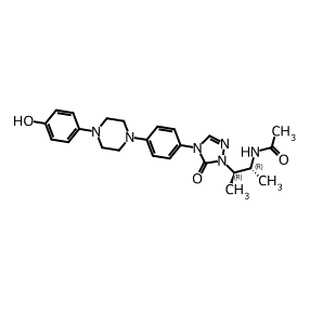 CC(=O)N[C@H](C)[C@@H](C)n1ncn(-c2ccc(N3CCN(c4ccc(O)cc4)CC3)cc2)c1=O